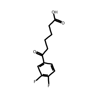 O=C(O)CCCCC(=O)c1ccc(F)c(F)c1